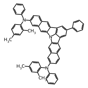 Cc1ccc(N(c2ccccc2)c2ccc3cc4c5cc(-c6ccccc6)cc6c7cc8ccc(N(c9ccccc9)c9ccc(C)cc9C)cc8cc7n(c4cc3c2)c56)c(C)c1